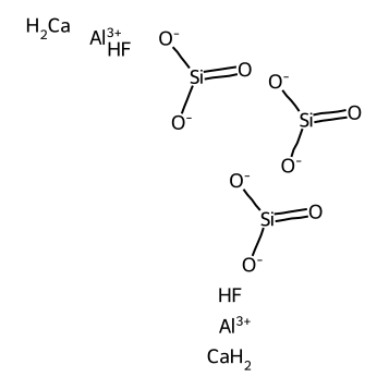 F.F.O=[Si]([O-])[O-].O=[Si]([O-])[O-].O=[Si]([O-])[O-].[Al+3].[Al+3].[CaH2].[CaH2]